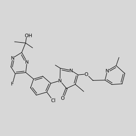 Cc1cccc(COc2nc(C)n(-c3cc(-c4nc(C(C)(C)O)ncc4F)ccc3Cl)c(=O)c2C)n1